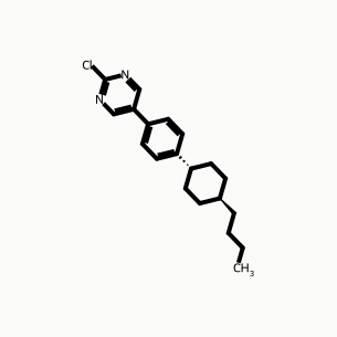 CCCC[C@H]1CC[C@H](c2ccc(-c3cnc(Cl)nc3)cc2)CC1